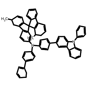 CC1C=CC2=C(C1)c1ccc(N(c3ccc(C4=CC=CCC4)cc3)c3ccc(-c4ccc5c(c4)c4ccccc4n5-c4ccccc4)cc3)cc1C21C2=C(C=CCC2C)c2ccccc21